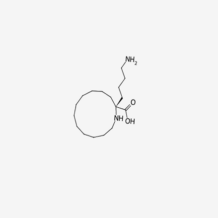 NCCCC[C@]1(C(=O)O)CCCCCCCCCCCN1